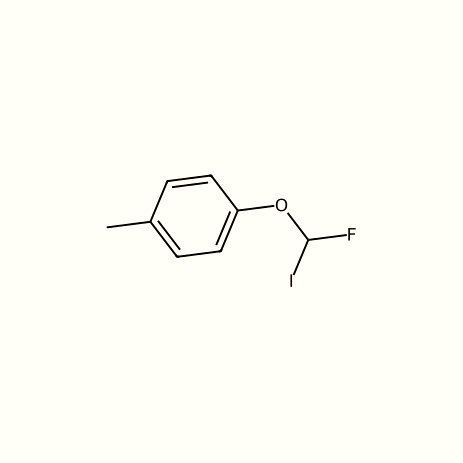 Cc1ccc(OC(F)I)cc1